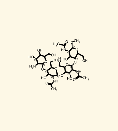 CO[C@H]1OC(CO)[C@H](O[C@@H]2OC(CO)C(O[C@H]3OC(CO)[C@H](O[C@@H]4OC(CO)C(O)[C@H](O)C4N)C(O)[C@H]3NC(C)=O)[C@H](O)C2NC(C)=O)C(O)[C@H]1NC(C)=O